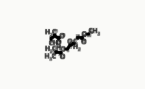 C=C(C)C(=O)OCC1CO1.C=C(CC)C(=O)O.C=CC(=O)OCC